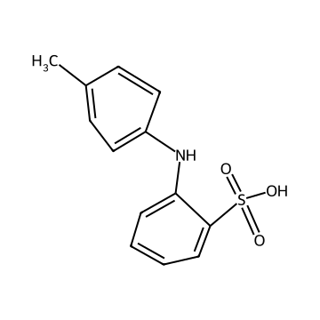 Cc1ccc(Nc2ccccc2S(=O)(=O)O)cc1